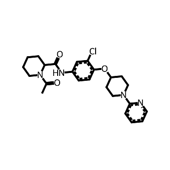 CC(=O)N1CCCCC1C(=O)Nc1ccc(OC2CCN(c3ccccn3)CC2)c(Cl)c1